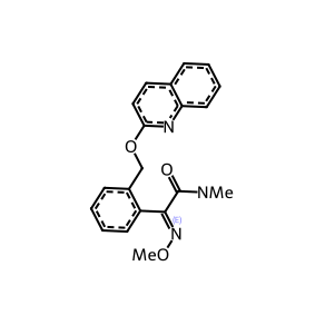 CNC(=O)/C(=N/OC)c1ccccc1COc1ccc2ccccc2n1